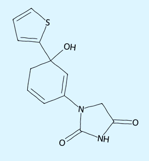 O=C1CN(C2=CC(O)(c3cccs3)CC=C2)C(=O)N1